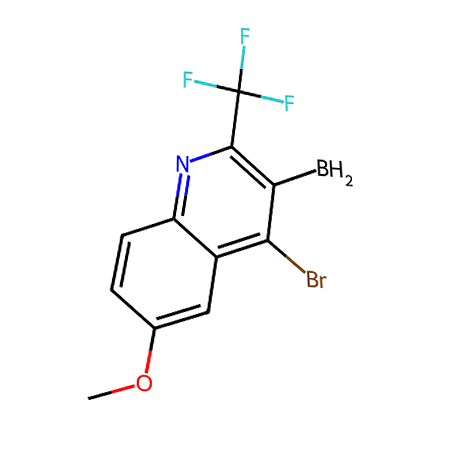 Bc1c(C(F)(F)F)nc2ccc(OC)cc2c1Br